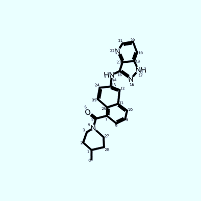 CC1CCN(C(=O)c2cccc3cc(Nc4n[nH]c5cccnc45)ccc23)CC1